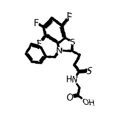 O=C(O)CNC(=S)CCC1Sc2c(F)cc(F)c(F)c2N1Cc1ccccc1